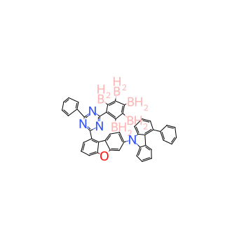 Bc1c(B)c(B)c(-c2nc(-c3ccccc3)nc(-c3cccc4oc5cc(-n6c7ccccc7c7c(-c8ccccc8)cccc76)ccc5c34)n2)c(B)c1B